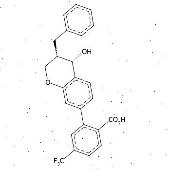 O=C(O)c1ccc(C(F)(F)F)cc1-c1ccc2c(c1)OC[C@@H](Cc1ccccc1)[C@@H]2O